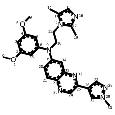 COc1cc(OC)cc(N(CCn2c(C)cnc2C)c2ccc3ncc(-c4cnn(C)c4)nc3c2)c1